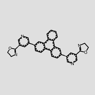 c1ccc2c(c1)c1cc(-c3cncc(C4=NCCO4)c3)ccc1c1ccc(-c3cncc(C4=NCCO4)c3)cc21